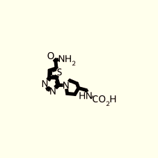 NC(=O)c1cc2ncnc(N3CCC(CNC(=O)O)CC3)c2s1